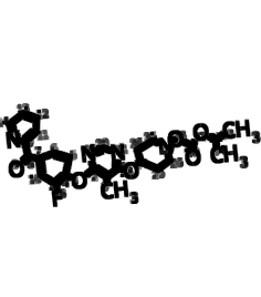 Cc1c(Oc2ccc(C(=O)c3ccccn3)cc2F)ncnc1OC1CCN(OC(=O)OC(C)C)CC1